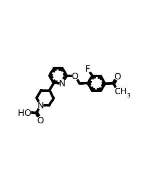 CC(=O)c1ccc(COc2cccc(C3CCN(C(=O)O)CC3)n2)c(F)c1